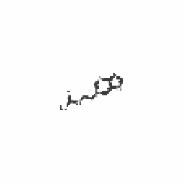 CCC(=O)OCCn1cnc2ncnc-2c1